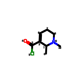 CC1C(C(=O)Cl)=CCCN1C